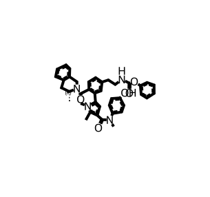 Cc1c(C(=O)N(C)c2ccc(O)cc2)cc(-c2cc(CCNC(=O)Oc3ccccc3)ccc2C(=O)N2Cc3ccccc3C[C@H]2C)n1C